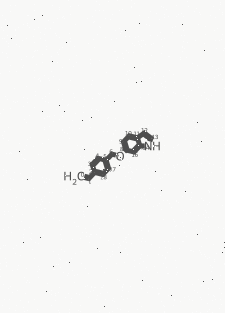 C=Cc1ccc(COc2ccc3cc[nH]c3c2)cc1